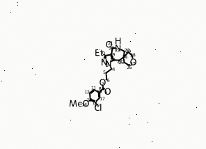 CCc1nn(CCCOC(=O)c2ccc(OC)c(Cl)c2)c2c1C(=O)NCC1(CCOCC1)C2